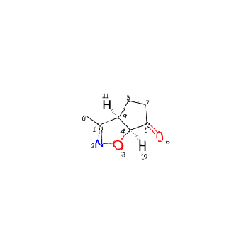 CC1=NO[C@@H]2C(=O)CC[C@H]12